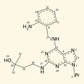 CC(C)n1cnc2c(NCc3ccccc3N)nc(NCCC(C)(C)O)nc21